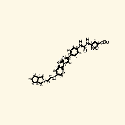 CC(C)(C)c1cc(NC(=O)Nc2ccc(-c3cn4c(n3)sc3cc(OCCN5CC6CCCC6C5)cnc34)cc2)no1